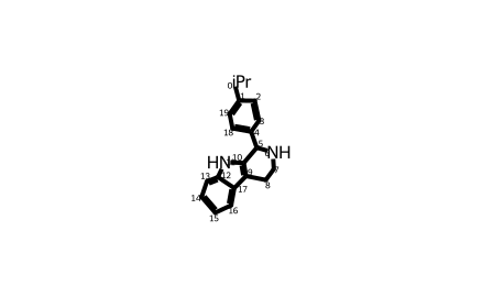 CC(C)c1ccc(C2NCCc3c2[nH]c2ccccc32)cc1